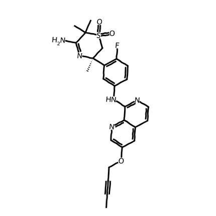 CC#CCOc1cnc2c(Nc3ccc(F)c([C@]4(C)CS(=O)(=O)C(C)(C)C(N)=N4)c3)nccc2c1